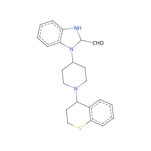 O=CC1Nc2ccccc2N1C1CCN(C2CCSc3ccccc32)CC1